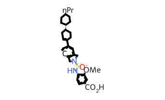 CCC[C@H]1CC[C@H](C2CC=C(c3ccc4c(c3)CN([S+]([O-])Nc3ccc(C(=O)O)cc3OC)C4)CC2)CC1